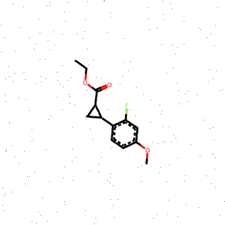 CCOC(=O)C1CC1c1ccc(OC)cc1F